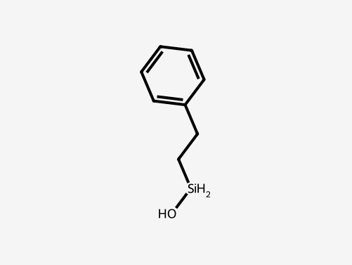 O[SiH2]CCc1ccccc1